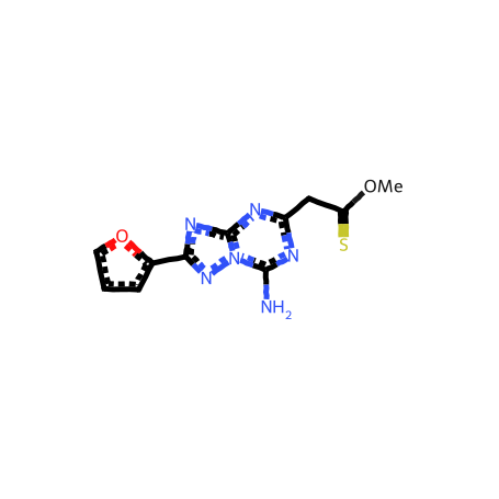 COC(=S)Cc1nc(N)n2nc(-c3ccco3)nc2n1